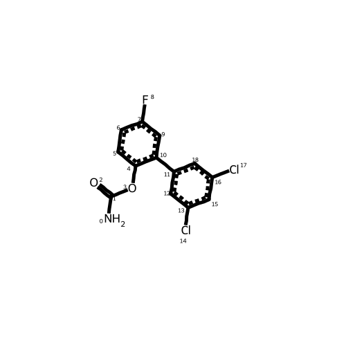 NC(=O)Oc1ccc(F)cc1-c1cc(Cl)cc(Cl)c1